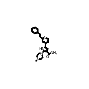 CN1CCN(c2[nH]c(-c3ccnc(C=Cc4ccccc4)c3)cc2C(N)=O)CC1